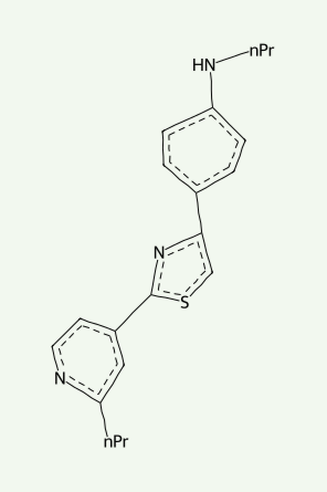 CCCNc1ccc(-c2csc(-c3ccnc(CCC)c3)n2)cc1